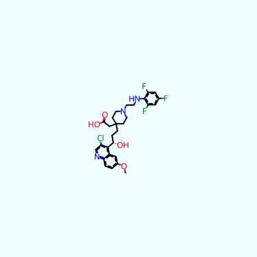 COc1ccc2ncc(Cl)c([C@@H](O)CCC3(CC(=O)O)CCN(CCNc4c(F)cc(F)cc4F)CC3)c2c1